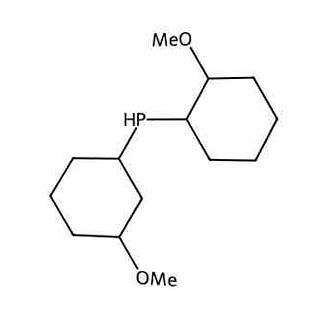 COC1CCCC(PC2CCCCC2OC)C1